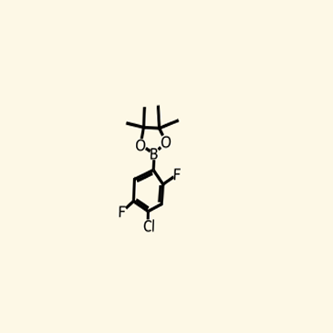 CC1(C)OB(c2cc(F)c(Cl)cc2F)OC1(C)C